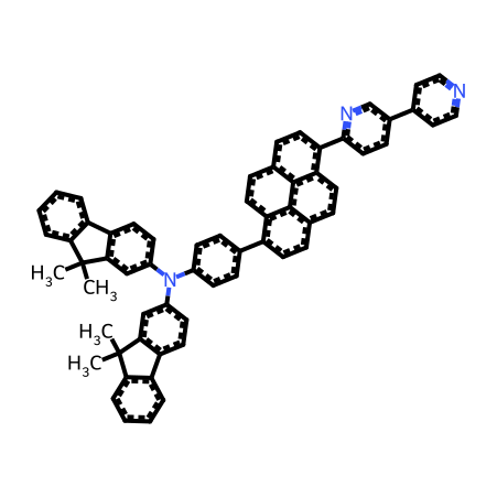 CC1(C)c2ccccc2-c2ccc(N(c3ccc(-c4ccc5ccc6c(-c7ccc(-c8ccncc8)cn7)ccc7ccc4c5c76)cc3)c3ccc4c(c3)C(C)(C)c3ccccc3-4)cc21